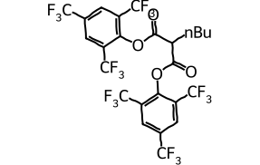 CCCCC(C(=O)Oc1c(C(F)(F)F)cc(C(F)(F)F)cc1C(F)(F)F)C(=O)Oc1c(C(F)(F)F)cc(C(F)(F)F)cc1C(F)(F)F